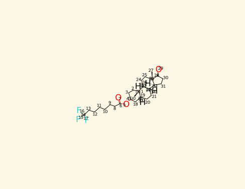 C[C@]12CC[C@H](OC(=O)CCCCCCC(F)(F)F)C[C@H]1CC[C@@H]1[C@@H]2CC[C@]2(C)C(=O)CC[C@@H]12